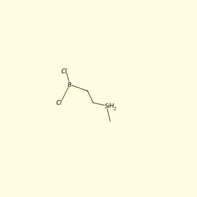 C[SiH2]CCB(Cl)Cl